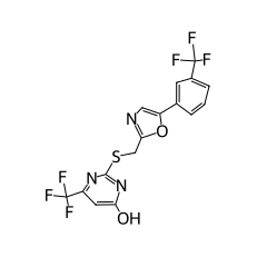 Oc1cc(C(F)(F)F)nc(SCc2ncc(-c3cccc(C(F)(F)F)c3)o2)n1